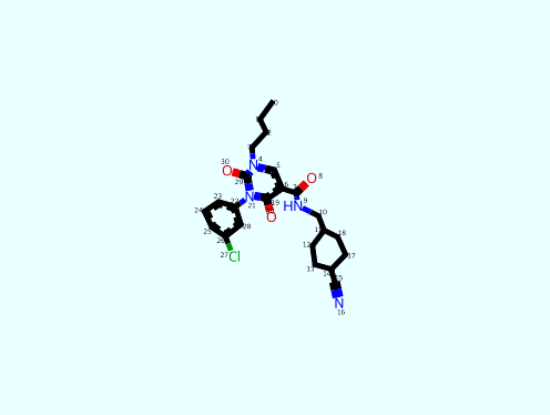 CCCCn1cc(C(=O)NCC2CCC(C#N)CC2)c(=O)n(-c2cccc(Cl)c2)c1=O